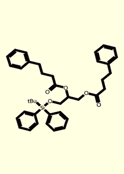 CC(C)(C)[Si](OCC(COC(=O)CCCc1ccccc1)OC(=O)CCCc1ccccc1)(c1ccccc1)c1ccccc1